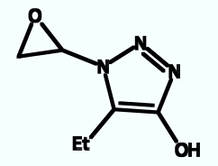 CCc1c(O)nnn1C1CO1